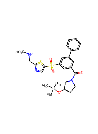 CC(C)(C)[Si](C)(C)OC1CCN(C(=O)c2cc(-c3ccccc3)cc(S(=O)(=O)c3cnc(CNC(=O)O)s3)c2)C1